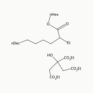 CCCCCCCCCCCCCCC(CC)C(=O)OCCCCCC.CCOC(=O)CC(O)(CC(=O)OCC)C(=O)OCC